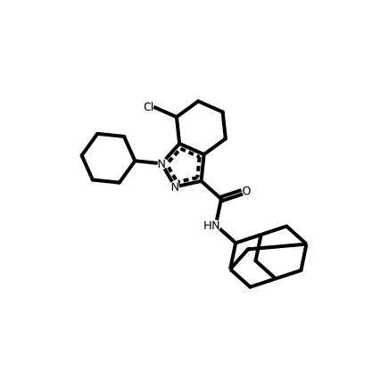 O=C(NC1C2CC3CC(C2)CC1C3)c1nn(C2CCCCC2)c2c1CCCC2Cl